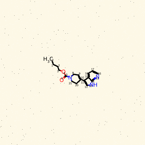 CCCCOC(=O)N1CC=C(c2c[nH]c3ncccc23)CC1